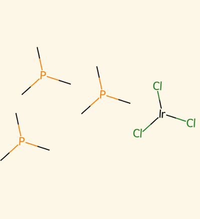 CP(C)C.CP(C)C.CP(C)C.[Cl][Ir]([Cl])[Cl]